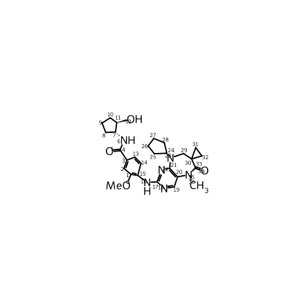 COc1cc(C(=O)N[C@@H]2CCC[C@H]2O)ccc1Nc1ncc2c(n1)N(C1CCCC1)CC1(CC1)C(=O)N2C